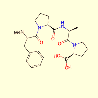 CNC(Cc1ccccc1)C(=O)N1CCC[C@H]1C(=O)N[C@@H](C)C(=O)N1CCC[C@H]1B(O)O